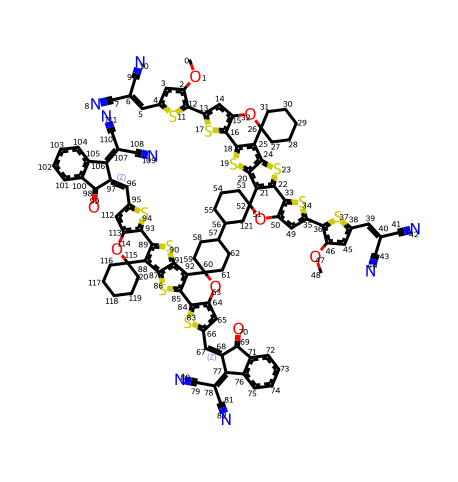 COc1cc(C=C(C#N)C#N)sc1-c1cc2c(s1)-c1sc3c4c(sc3c1C1(CCCCC1)O2)-c1sc(-c2sc(C=C(C#N)C#N)cc2OC)cc1OC41CCCC(C2CCC3(CC2)Oc2cc(/C=C4\C(=O)c5ccccc5C4=C(C#N)C#N)sc2-c2sc4c5c(sc4c23)-c2sc(/C=C3\C(=O)c4ccccc4C3=C(C#N)C#N)cc2OC52CCCCC2)C1